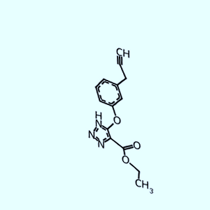 C#CCc1cccc(Oc2[nH]nnc2C(=O)OCC)c1